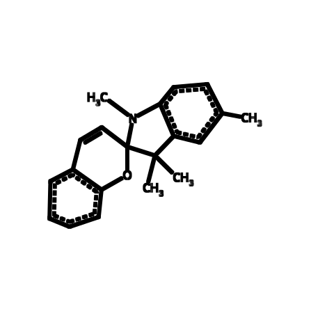 Cc1ccc2c(c1)C(C)(C)C1(C=Cc3ccccc3O1)N2C